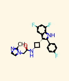 Cc1nccn1CC(=O)N[C@H]1C[C@@H](c2c(-c3ccc(F)cc3)[nH]c3c(F)cc(F)cc32)C1